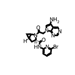 Nc1cn(CC(=O)N2C3C[C@@H]3C[C@H]2C(=O)Nc2cccc(Br)n2)c2ncncc12